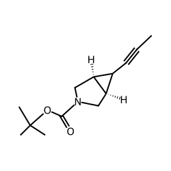 CC#CC1[C@H]2CN(C(=O)OC(C)(C)C)C[C@@H]12